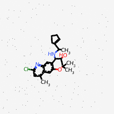 Cc1cc(Cl)nc2cc3c(cc12)OC(C)(C)C(O)C3NC(C)C1=CCCC1